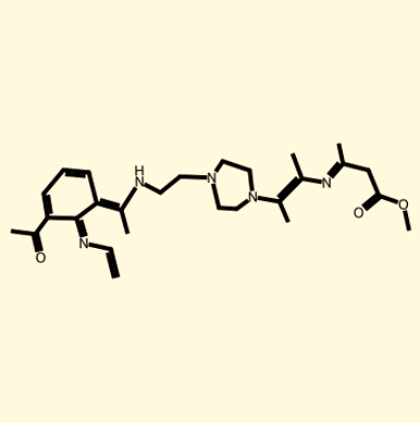 C=C/N=C1/C(C(C)=O)=CC=C/C1=C(/C)NCCN1CCN(/C(C)=C(C)/N=C(\C)CC(=O)OC)CC1